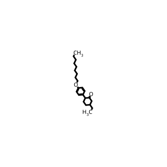 CCCCCCCCCOc1ccc(C2CCC(CC)CC2=O)cc1